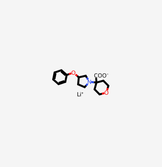 O=C([O-])C1(N2CCC(Oc3ccccc3)C2)CCOCC1.[Li+]